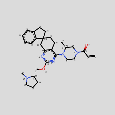 C=CC(=O)N1CCN(c2nc(OC[C@@H]3CCCN3C)nc3c2CCC2(CCc4ccccc42)C3)[C@@H](C)C1